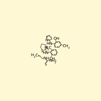 C=CCNC(N)=S.Cc1ccc(Nc2nccs2)c(O)c1.Cc1cccc(C)c1NC1=NCCCS1